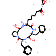 O=C1N[C@@H](Cc2ccccc2)C(O)N[C@@H](Cc2ccccc2)C(=O)N2CCCC2C(O)N[C@H]1CCCCCC(=O)[C@@H]1CO1